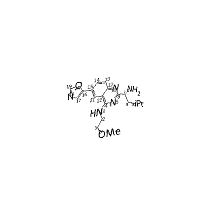 COCCNc1nc(C(N)CC(C)C)nc2ccc(-c3cnco3)cc12